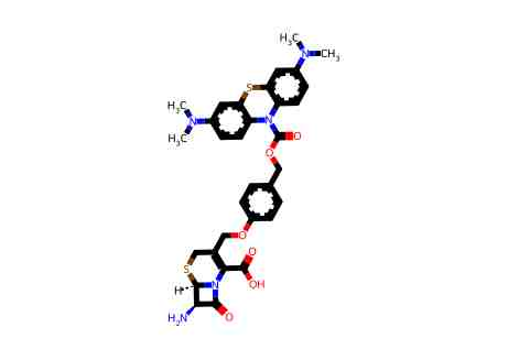 CN(C)c1ccc2c(c1)Sc1cc(N(C)C)ccc1N2C(=O)OCc1ccc(OCC2=C(C(=O)O)N3C(=O)[C@@H](N)[C@H]3SC2)cc1